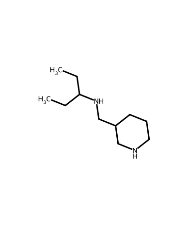 CCC(CC)NCC1CCCNC1